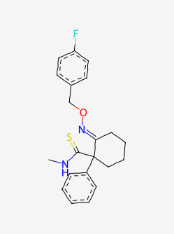 CNC(=S)C1(c2ccccc2)CCCCC1=NOCc1ccc(F)cc1